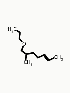 [CH2]CCOCC(C)CCC=CC